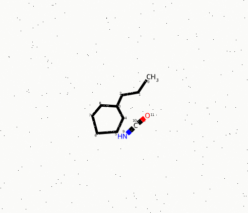 CCCC1CCCCC1.N=C=O